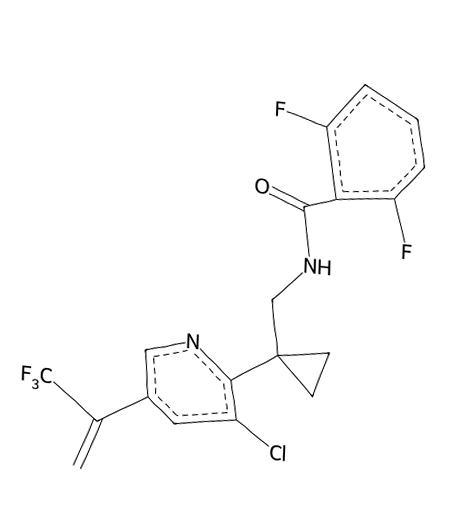 C=C(c1cnc(C2(CNC(=O)c3c(F)cccc3F)CC2)c(Cl)c1)C(F)(F)F